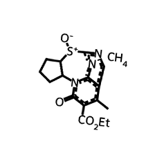 C.CCOC(=O)c1c(C)c2cnc3nc2n(c1=O)C1CCCC1[S+]3[O-]